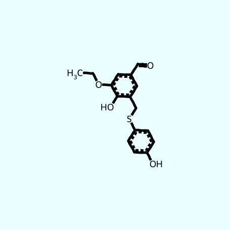 CCOc1cc(C=O)cc(CSc2ccc(O)cc2)c1O